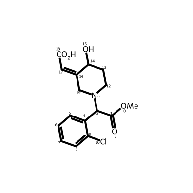 COC(=O)C(c1ccccc1Cl)N1CCC(O)/C(=C\C(=O)O)C1